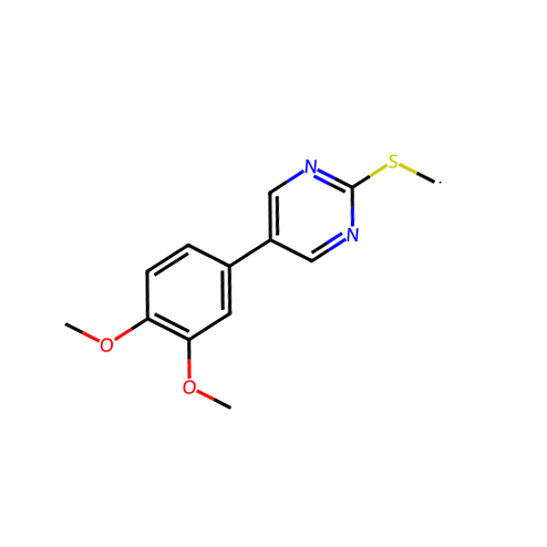 [CH2]Sc1ncc(-c2ccc(OC)c(OC)c2)cn1